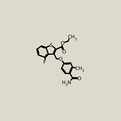 CCOC(=O)c1sc2cccc(F)c2c1COc1ccc(C(N)=O)c(C)c1